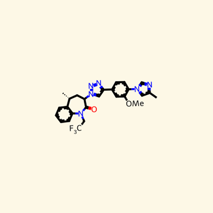 COc1cc(-c2cn(C3C[C@@H](C)c4ccccc4N(CC(F)(F)F)C3=O)nn2)ccc1-n1cnc(C)c1